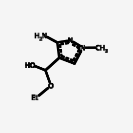 CCOC(O)c1cn(C)nc1N